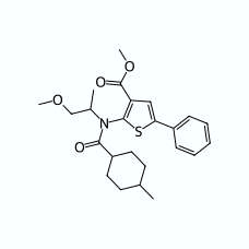 COCC(C)N(C(=O)C1CCC(C)CC1)c1sc(-c2ccccc2)cc1C(=O)OC